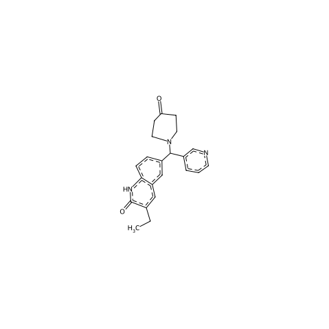 CCc1cc2cc(C(c3cccnc3)N3CCC(=O)CC3)ccc2[nH]c1=O